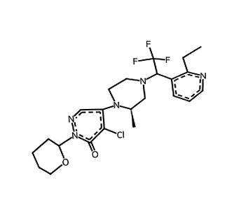 CCc1ncccc1C(N1CCN(c2cnn(C3CCCCO3)c(=O)c2Cl)[C@H](C)C1)C(F)(F)F